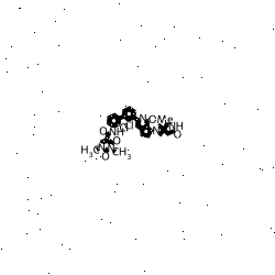 COc1nc(-c2cccc(-c3cccc(NC(=O)c4cn(C)c(=O)n(C)c4=O)c3Cl)c2Cl)cc2c1[C@H](N1CC3(CNC(=O)C3)C1)CC2